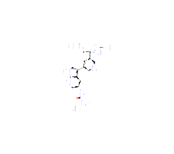 CCCNC(=O)Nc1cnc2[nH]cc(-c3cncc([C@@](NCC(F)(F)F)(C(N)=O)C(C)C)c3)c2c1